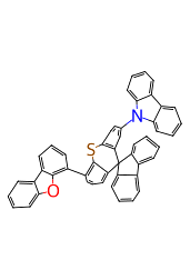 c1ccc2c(c1)-c1ccccc1C21c2cc(-n3c4ccccc4c4ccccc43)ccc2Sc2c(-c3cccc4c3oc3ccccc34)cccc21